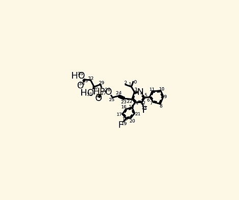 CC(C)c1nc(-c2ccccc2)c(F)c(-c2ccc(F)cc2)c1C#CCO[PH](=O)CC(O)CC(=O)O